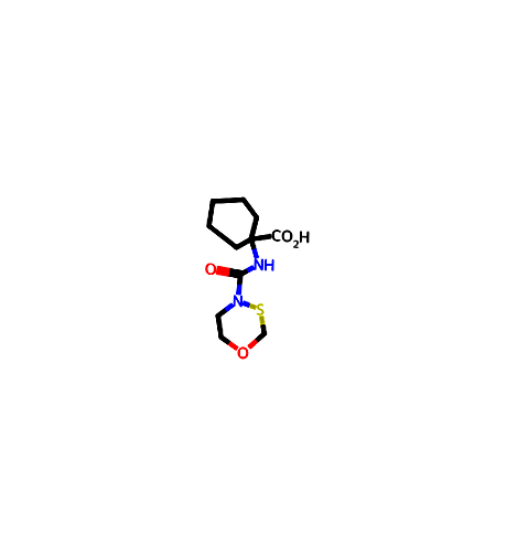 O=C(NC1(C(=O)O)CCCCC1)N1CCOCS1